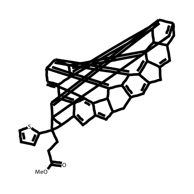 COC(=O)CCC1(c2cccs2)C2c3cc4c5c6c3c3c7c8c9c%10c%11c%12c%13c%14c(cc%15c%16c(c(c%11c%14%16)c6c3%10)C5C(C=4)C%15)CC%13=CC(CC8=CC721)C%129